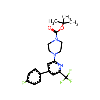 CC(C)(C)OC(=O)N1CCN(c2cc(-c3ccc(F)cc3)cc(C(F)(F)F)n2)CC1